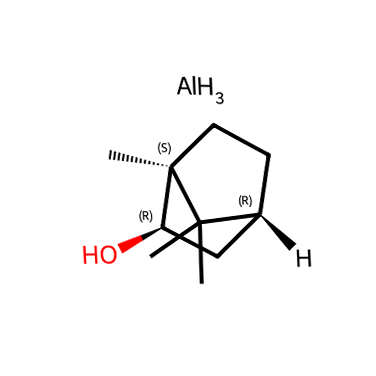 CC1(C)[C@@H]2CC[C@]1(C)[C@H](O)C2.[AlH3]